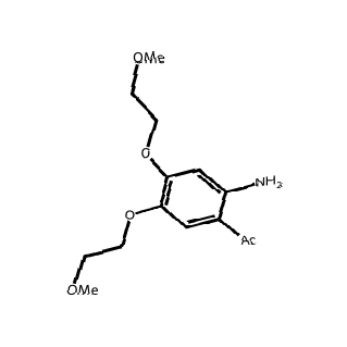 COCCOc1cc(N)c(C(C)=O)cc1OCCOC